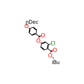 CCCCCCCCCCOc1ccc(C(=O)Oc2ccc(C(=O)OC[C@@H](C)CC)c(Cl)c2)cc1